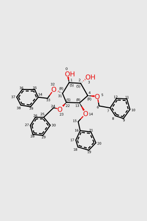 O[C@H]1[C@H](O)[C@@H](OCc2ccccc2)[C@@H](OCc2ccccc2)[C@@H](OCc2ccccc2)[C@@H]1OCc1ccccc1